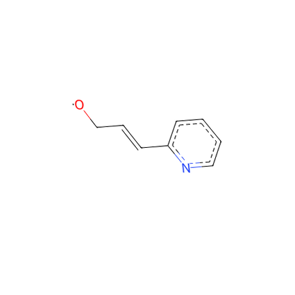 [O]CC=Cc1ccccn1